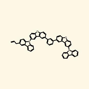 C=CCc1ccc2c(c1)c1ccccc1n2-c1ccc2oc3ccc(-c4cccc(-c5ccc6oc7ccc(-n8c9ccccc9c9ccccc98)cc7c6c5)c4)cc3c2c1